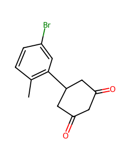 Cc1ccc(Br)cc1C1CC(=O)CC(=O)C1